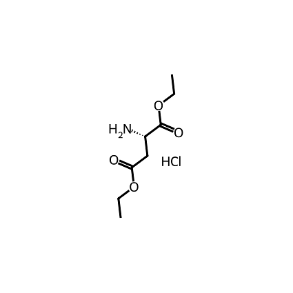 CCOC(=O)C[C@H](N)C(=O)OCC.Cl